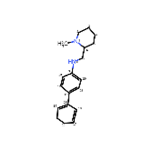 CN1CCCCC1CNc1ccc(C2=CCCC=C2)cc1